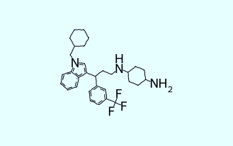 NC1CCC(NCCC(c2cccc(C(F)(F)F)c2)c2cn(CC3CCCCC3)c3ccccc23)CC1